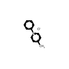 Cc1cc[n+](-c2ccccc2)cc1.[Cl-]